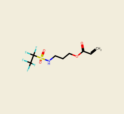 C=CC(=O)OCCCNS(=O)(=O)C(F)(F)C(F)(F)F